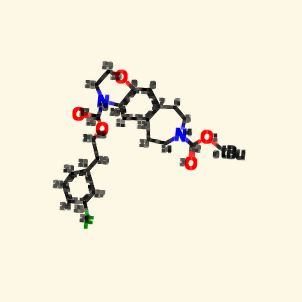 CC(C)(C)OC(=O)N1CCc2cc3c(cc2CC1)N(C(=O)OCCc1cccc(F)c1)CCO3